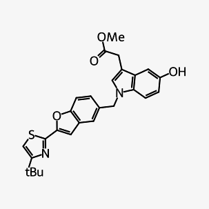 COC(=O)Cc1cn(Cc2ccc3oc(-c4nc(C(C)(C)C)cs4)cc3c2)c2ccc(O)cc12